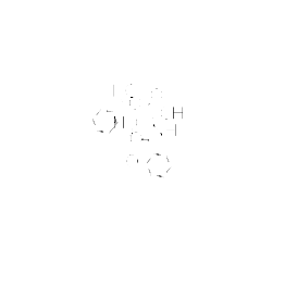 COC(=O)C(C)(C)NC(=O)c1ccc2c(c1OCCc1ccccc1)CCCC2